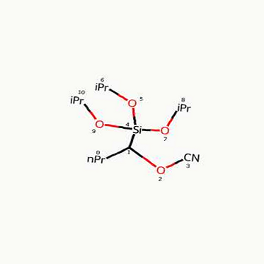 CCCC(OC#N)[Si](OC(C)C)(OC(C)C)OC(C)C